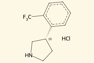 Cl.FC(F)(F)c1ccccc1[C@@H]1CCNC1